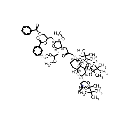 COC(C[C@@H]1O[C@H](CC(COC(=O)c2ccccc2)OC(=O)c2ccccc2)[C@H](OC)[C@H]1CC(=O)C[C@H]1CC[C@@H]2O[C@@H](C(/C=C/I)O[Si](C)(C)C(C)(C)C)[C@@H](O[Si](C)(C)C(C)(C)C)[C@@H](O[Si](C)(C)C(C)(C)C)[C@H]2O1)OC